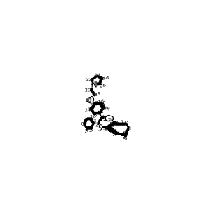 c1ccc([C@@H]2Sc3ccccc3O[C@@H]2c2ccc(OCCN3CCCC3)cc2)cc1